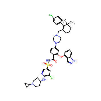 CC1(C)CCCC(CN2CCN(c3ccc(C(=O)NS(=O)(=O)c4cnc(NC5CCN(C6CC6)CC5)c(Cl)c4)c(Oc4cccc5[nH]ncc45)c3)CC2)=C1c1ccc(Cl)cc1